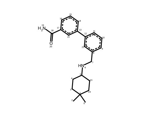 CC1(C)CCC(NCc2cccc(-c3cccc(C(N)=O)c3)c2)CC1